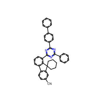 N#Cc1ccc2c(c1)C1(CCCCC1)c1c(-c3nc(-c4ccccc4)nc(-c4ccc(-c5ccccc5)cc4)n3)cccc1-2